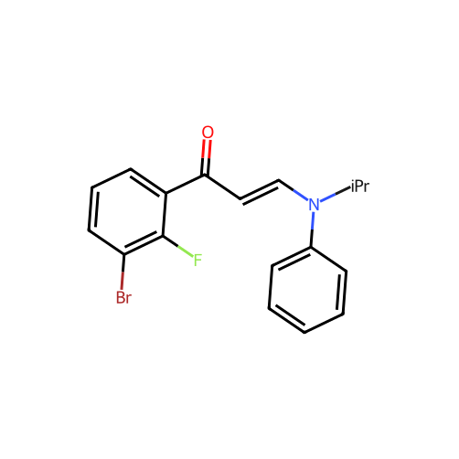 CC(C)N(C=CC(=O)c1cccc(Br)c1F)c1ccccc1